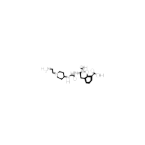 NCCN1CCC(NCC(=O)N[C@H]2Cc3cccc(C(=O)O)c3OB2O)CC1